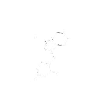 Cc1nn(Cc2ccc(Cl)cc2Cl)c2ccccc12